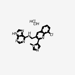 Cl.Cl.Cn1cncc1-c1nc2c(Cl)cccc2cc1CNc1ncnc2[nH]cnc12